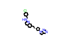 Clc1ccc(CNc2ccc3ccc(CC[C@@H]4CC[C@H](n5ccc6cncnc65)C4)cc3n2)cc1